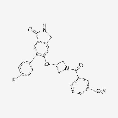 N#Cc1cccc(C(=O)N2CC(Oc3cc4c(cc3-c3ccc(F)cc3)C(=O)NC4)C2)c1